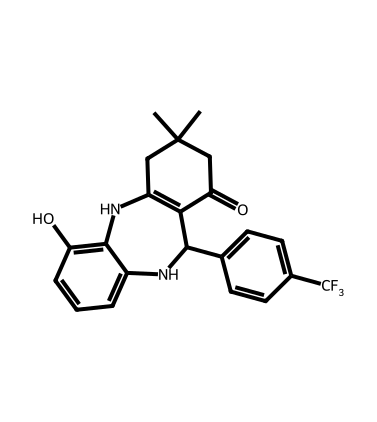 CC1(C)CC(=O)C2=C(C1)Nc1c(O)cccc1NC2c1ccc(C(F)(F)F)cc1